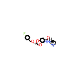 O=C(N[C@H]1CN2CCC1CC2)c1ccc2c(c1)OC[C@H](COCc1ccc(F)cc1)O2